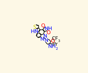 CC(C)C1(N)CCN(c2nc(C3=C(c4c[nH]c5sccc45)C(=O)NC3=O)c3ccccc3n2)CC1OC(F)(F)F